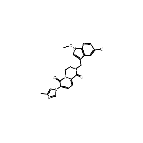 COn1cc(CN2CCn3c(ccc(-n4cnc(C)c4)c3=O)C2=O)c2cc(Cl)ccc21